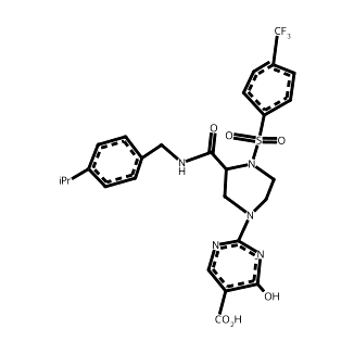 CC(C)c1ccc(CNC(=O)C2CN(c3ncc(C(=O)O)c(O)n3)CCN2S(=O)(=O)c2ccc(C(F)(F)F)cc2)cc1